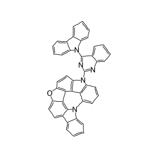 c1ccc2c(-n3c4ccccc4c4ccccc43)nc(-n3c4ccc5oc6ccc7c8ccccc8n8c9cccc3c9c4c5c6c78)nc2c1